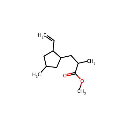 C=CC1CC(C)CC1CC(C)C(=O)OC